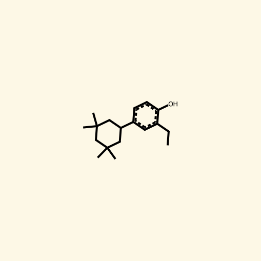 CCc1cc(C2CC(C)(C)CC(C)(C)C2)ccc1O